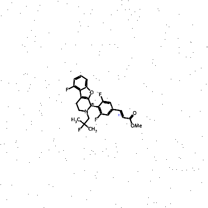 COC(=O)/C=C/c1cc(F)c([C@@H]2c3oc4cccc(F)c4c3CCN2CC(C)(C)F)c(F)c1